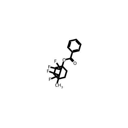 CC12CCC(OC(=O)c3ccccc3)(CC1)C(F)(F)C2(F)F